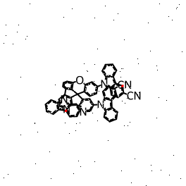 N#Cc1ccc2c(c1)c1ccccc1n2-c1ccc2c(c1)Oc1cccc(-n3c4ccccc4c4ccccc43)c1C21c2cccnc2-c2ncc(-n3c4ccccc4c4cc(C#N)ccc43)cc21